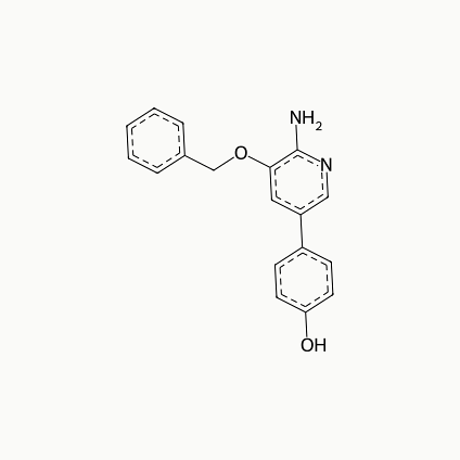 Nc1ncc(-c2ccc(O)cc2)cc1OCc1ccccc1